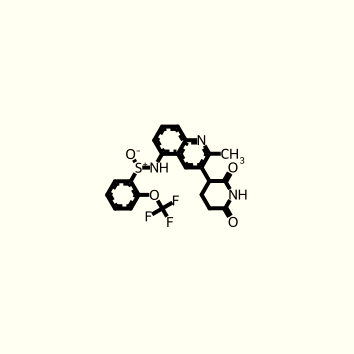 Cc1nc2cccc(N[S+]([O-])c3ccccc3OC(F)(F)F)c2cc1C1CCC(=O)NC1=O